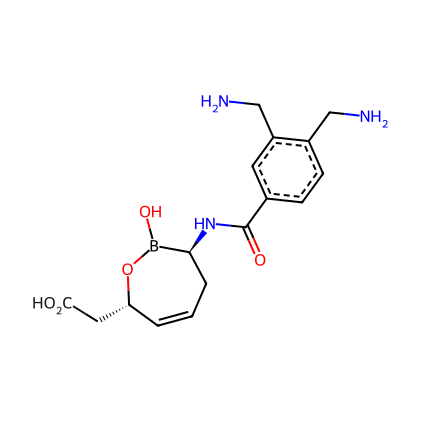 NCc1ccc(C(=O)N[C@H]2CC=C[C@H](CC(=O)O)OB2O)cc1CN